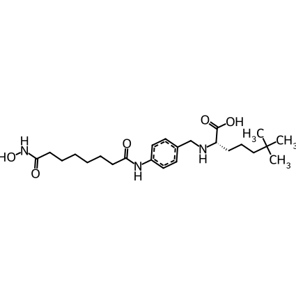 CC(C)(C)CCC[C@H](NCc1ccc(NC(=O)CCCCCCC(=O)NO)cc1)C(=O)O